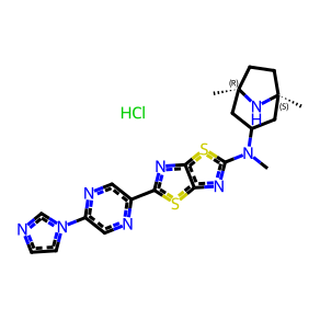 CN(c1nc2sc(-c3cnc(-n4ccnc4)cn3)nc2s1)C1C[C@]2(C)CC[C@](C)(C1)N2.Cl